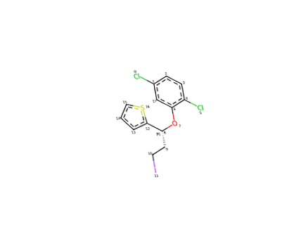 Clc1ccc(Cl)c(O[C@H](CCI)c2cccs2)c1